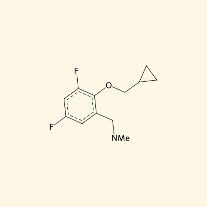 CNCc1cc(F)cc(F)c1OCC1CC1